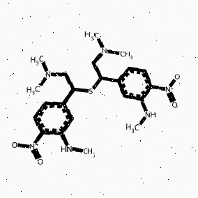 CNc1cc(C(CN(C)C)SC(CN(C)C)c2ccc([N+](=O)[O-])c(NC)c2)ccc1[N+](=O)[O-]